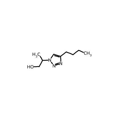 CCCCc1cn(C(C)CO)nn1